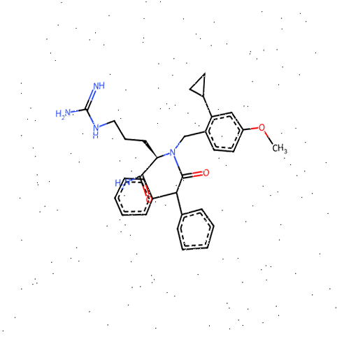 COc1ccc(CN(C(=O)C(c2ccccc2)c2ccccc2)[C@H](CCCNC(=N)N)C(N)=O)c(C2CC2)c1